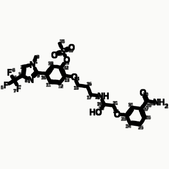 Cn1cc(C(F)(F)F)nc1-c1ccc(OCCCNC(O)COc2cccc(C(N)=O)c2)c(OS(C)(=O)=O)c1